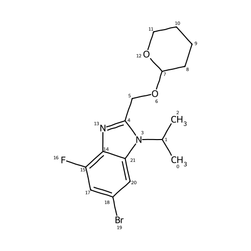 CC(C)n1c(COC2CCCCO2)nc2c(F)cc(Br)cc21